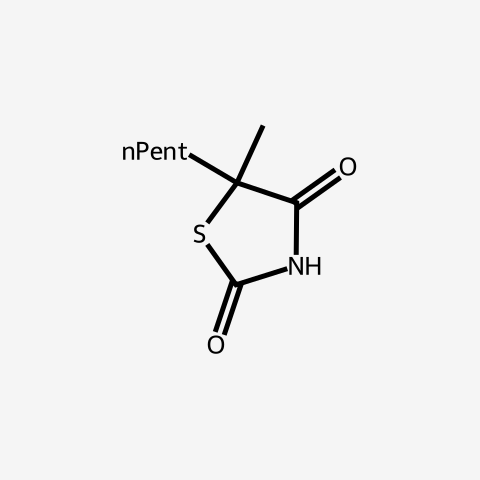 CCCCCC1(C)SC(=O)NC1=O